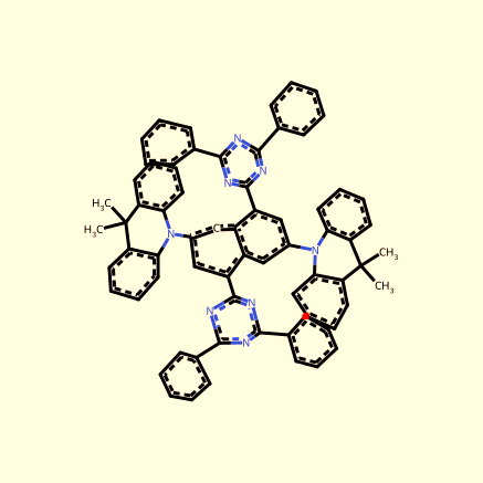 CC1(C)c2ccccc2N(c2cc(-c3nc(-c4ccccc4)nc(-c4ccccc4)n3)c3cc(N4c5ccccc5C(C)(C)c5ccccc54)cc(-c4nc(-c5ccccc5)nc(-c5ccccc5)n4)c3c2)c2ccccc21